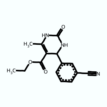 CCOC(=O)C1=C(C)NC(=O)NC1c1cccc(C#N)c1